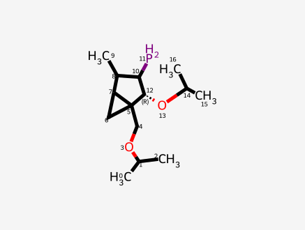 CC(C)OCC12CC1C(C)C(P)[C@@H]2OC(C)C